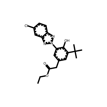 CCOC(=O)Cc1cc(-n2nc3ccc(Cl)cc3n2)c(O)c(C(C)(C)C)c1